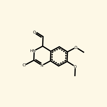 COc1cc2c(cc1OC)C(C=O)NC(Cl)=N2